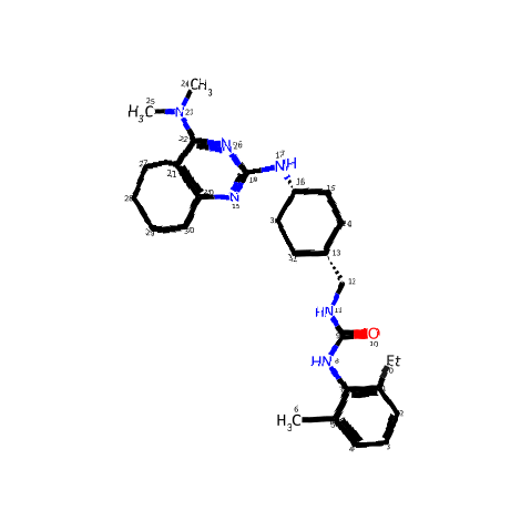 CCc1cccc(C)c1NC(=O)NC[C@H]1CC[C@@H](Nc2nc3c(c(N(C)C)n2)CCCC3)CC1